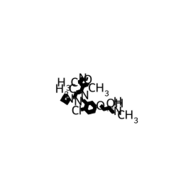 CNC[C@@H](O)COc1ccc(Cl)c(-c2nc(-c3c(C)noc3C)c(C)c(N3CCC3)n2)c1